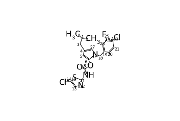 CC(C)Cc1cc(OC(=O)Nc2ncc(Cl)s2)n(Cc2ccc(Cl)c(F)c2)c1